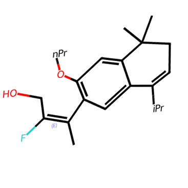 CCCOc1cc2c(cc1/C(C)=C(/F)CO)C(C(C)C)=CCC2(C)C